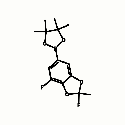 CC1(F)Oc2cc(B3OC(C)(C)C(C)(C)O3)cc(F)c2O1